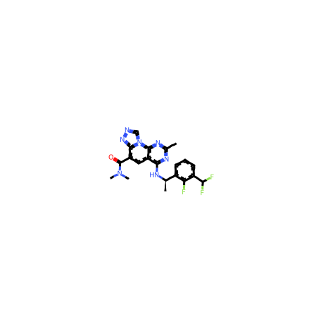 Cc1nc(N[C@H](C)c2cccc(C(F)F)c2F)c2cc(C(=O)N(C)C)c3nncn3c2n1